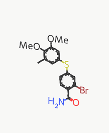 COc1cc(Sc2ccc(C(N)=O)c(Br)c2)cc(C)c1OC